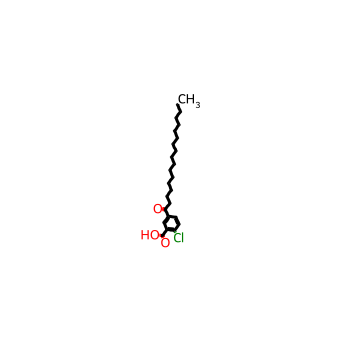 CCCCCCCCCCCCCCCCCC(=O)c1ccc(Cl)c(C(=O)O)c1